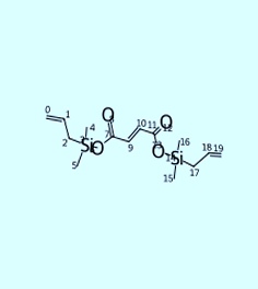 C=CC[Si](C)(C)OC(=O)C=CC(=O)O[Si](C)(C)CC=C